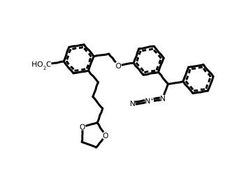 [N-]=[N+]=NC(c1ccccc1)c1cccc(OCc2ccc(C(=O)O)cc2CCCC2OCCO2)c1